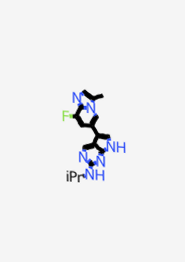 Cc1cnc2c(F)cc(-c3c[nH]c4nc(NC(C)C)ncc34)cn12